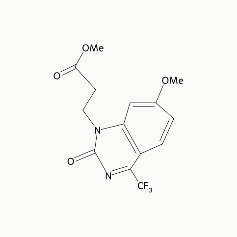 COC(=O)CCn1c(=O)nc(C(F)(F)F)c2ccc(OC)cc21